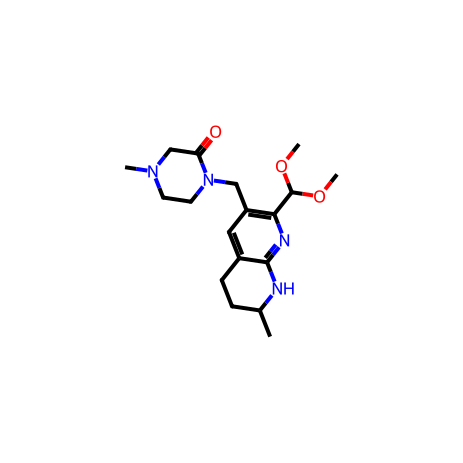 COC(OC)c1nc2c(cc1CN1CCN(C)CC1=O)CCC(C)N2